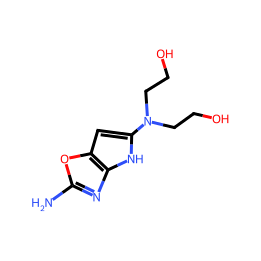 Nc1nc2[nH]c(N(CCO)CCO)cc2o1